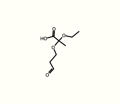 CCOC(C)(OCCC=O)C(=O)O